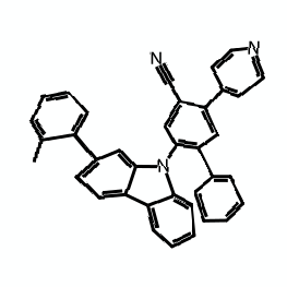 Cc1ccccc1-c1ccc2c3ccccc3n(-c3cc(C#N)c(-c4ccncc4)cc3-c3ccccc3)c2c1